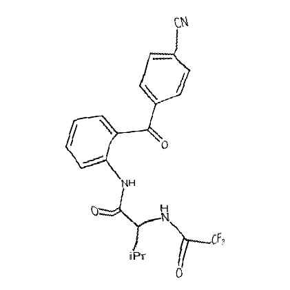 CC(C)C(NC(=O)C(F)(F)F)C(=O)Nc1ccccc1C(=O)c1ccc(C#N)cc1